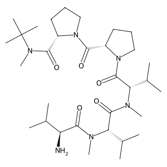 CC(C)[C@H](N)C(=O)N(C)[C@H](C(=O)N(C)[C@H](C(=O)N1CCC[C@H]1C(=O)N1CCC[C@H]1C(=O)N(C)C(C)(C)C)C(C)C)C(C)C